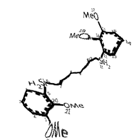 COc1cccc([SiH2]CCCC[SiH2]c2cccc(OC)c2OC)c1OC